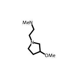 CNCCN1CCC(OC)C1